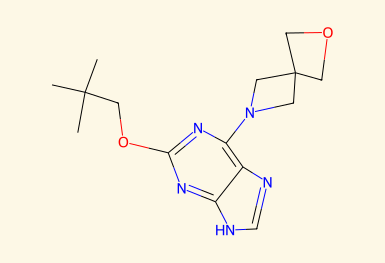 CC(C)(C)COc1nc(N2CC3(COC3)C2)c2nc[nH]c2n1